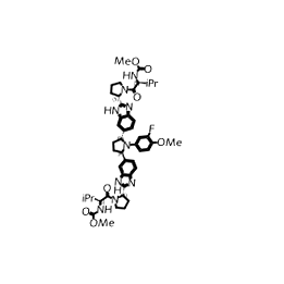 COC(=O)N[C@H](C(=O)N1CCC[C@H]1c1nc2ccc([C@H]3CC[C@H](c4ccc5nc([C@@H]6CCCN6C(=O)[C@@H](NC(=O)OC)C(C)C)[nH]c5c4)N3c3ccc(OC)c(F)c3)cc2[nH]1)C(C)C